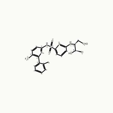 CC[C@@H](O)[C@H](CC=O)Nc1cccc(S(=O)(=O)Nc2ccc(C(F)(F)F)c(-c3ccccc3C)n2)n1